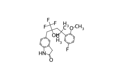 COc1ccc(F)cc1C(C)(C)CC(O)(Cc1ccc2c(c1)CC(=O)N2)C(F)(F)F